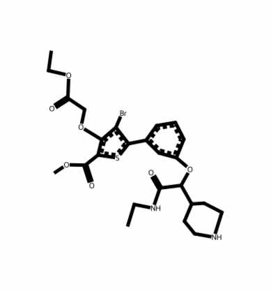 CCNC(=O)C(Oc1cccc(-c2sc(C(=O)OC)c(OCC(=O)OCC)c2Br)c1)C1CCNCC1